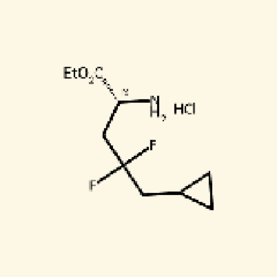 CCOC(=O)[C@H](N)CC(F)(F)CC1CC1.Cl